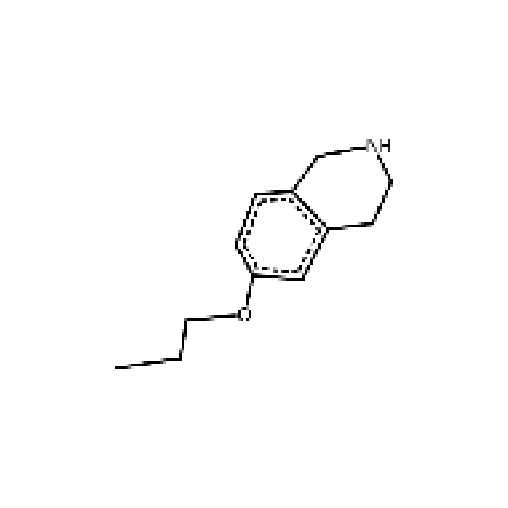 CCCOc1ccc2c(c1)CCNC2